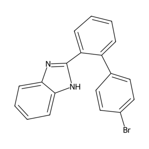 Brc1ccc(-c2ccccc2-c2nc3ccccc3[nH]2)cc1